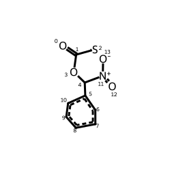 O=C([S])OC(c1ccccc1)[N+](=O)[O-]